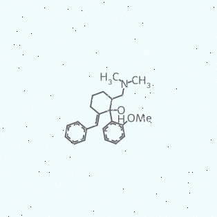 COc1ccccc1C1(O)C(=Cc2ccccc2)CCCC1CN(C)C